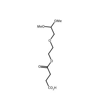 COC(COCCOC(=O)CCC(=O)O)OC